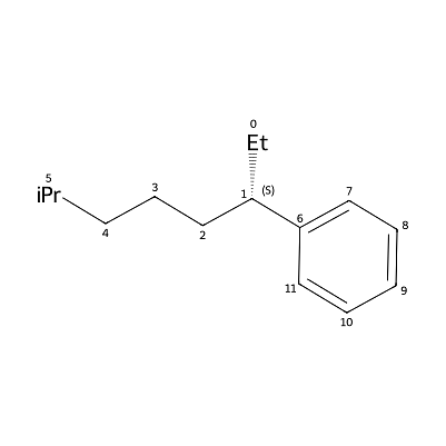 [CH2]C[C@@H](CCCC(C)C)c1ccccc1